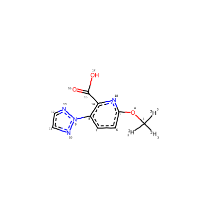 [2H]C([2H])([2H])Oc1ccc(-n2nccn2)c(C(=O)O)n1